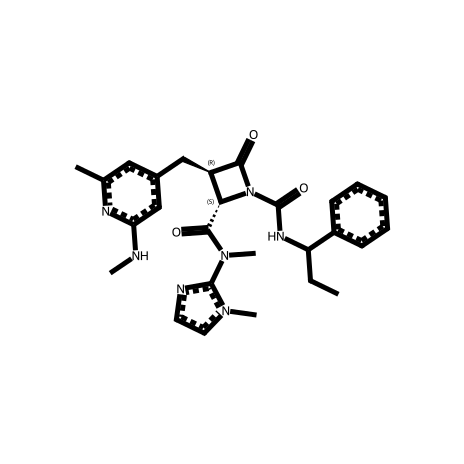 CCC(NC(=O)N1C(=O)[C@H](Cc2cc(C)nc(NC)c2)[C@H]1C(=O)N(C)c1nccn1C)c1ccccc1